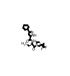 CC[C@@H](NC(=O)c1cc(-c2ccccc2)n[nH]1)C(=O)N1CC[C@]2(C1)CC2(F)F